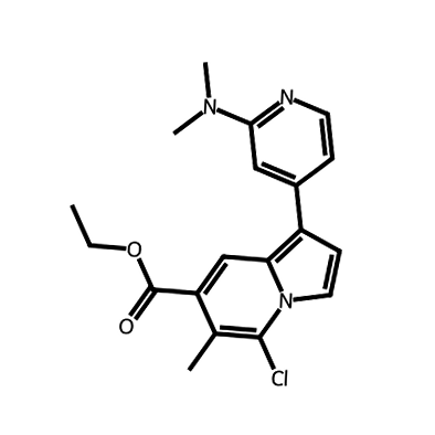 CCOC(=O)c1cc2c(-c3ccnc(N(C)C)c3)ccn2c(Cl)c1C